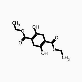 CCOC(=O)C1=C(O)CC(C(=O)OCC)=C(O)C1